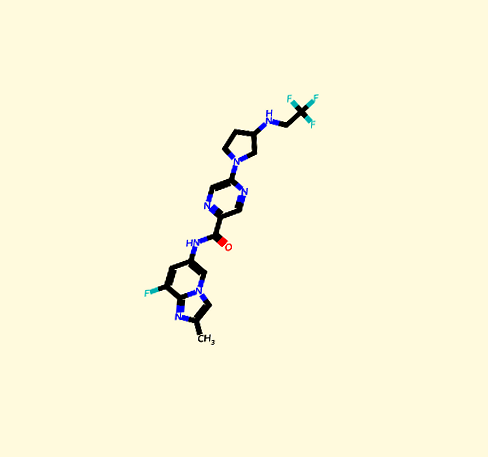 Cc1cn2cc(NC(=O)c3cnc(N4CCC(NCC(F)(F)F)C4)cn3)cc(F)c2n1